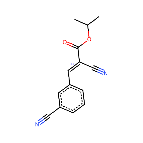 CC(C)OC(=O)/C(C#N)=C/c1cccc(C#N)c1